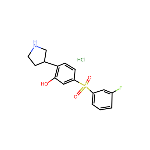 Cl.O=S(=O)(c1cccc(F)c1)c1ccc(C2CCNC2)c(O)c1